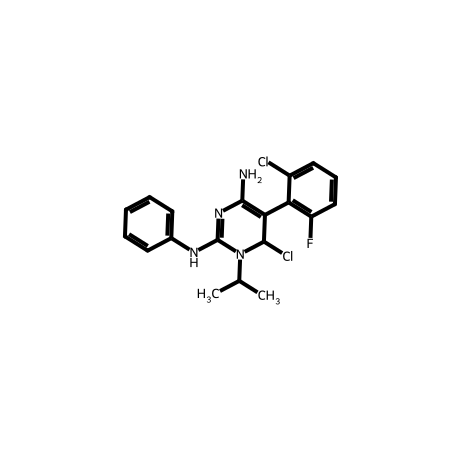 CC(C)N1C(Nc2ccccc2)=NC(N)=C(c2c(F)cccc2Cl)C1Cl